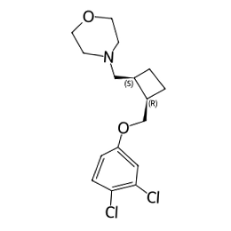 Clc1ccc(OC[C@@H]2CC[C@@H]2CN2CCOCC2)cc1Cl